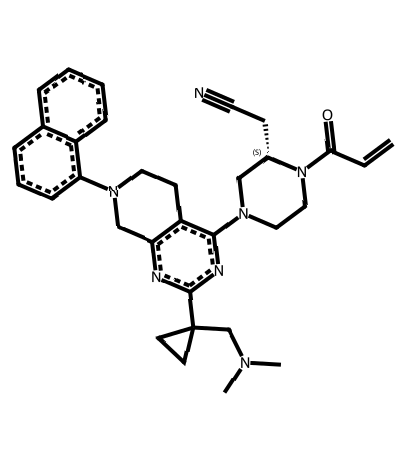 C=CC(=O)N1CCN(c2nc(C3(CN(C)C)CC3)nc3c2CCN(c2cccc4ccccc24)C3)C[C@@H]1CC#N